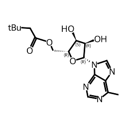 Cc1ncnc2c1ncn2[C@@H]1O[C@H](COC(=O)CC(C)(C)C)[C@@H](O)[C@H]1O